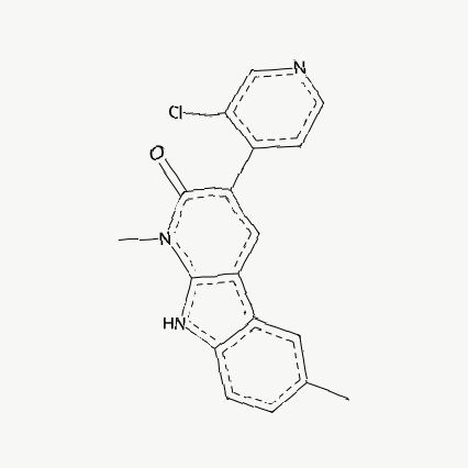 Cc1ccc2[nH]c3c(cc(-c4ccncc4Cl)c(=O)n3C)c2c1